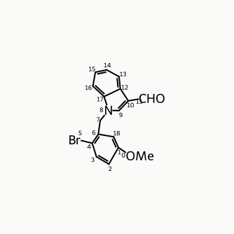 COc1ccc(Br)c(Cn2cc(C=O)c3ccccc32)c1